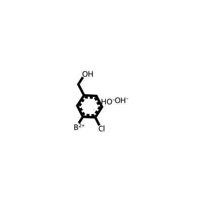 [B+2]c1cc(CO)ccc1Cl.[OH-].[OH-]